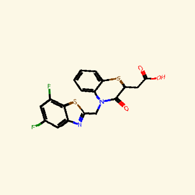 O=C(O)CC1Sc2ccccc2N(Cc2nc3cc(F)cc(F)c3s2)C1=O